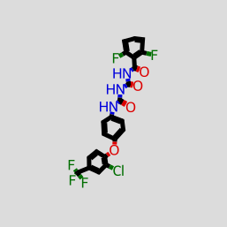 O=C(NC(=O)Nc1ccc(Oc2ccc(C(F)(F)F)cc2Cl)cc1)NC(=O)c1c(F)cccc1F